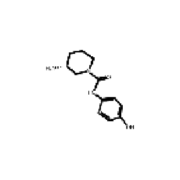 N[C@@H]1CCCN(C(=O)Nc2ccc(O)cc2)C1